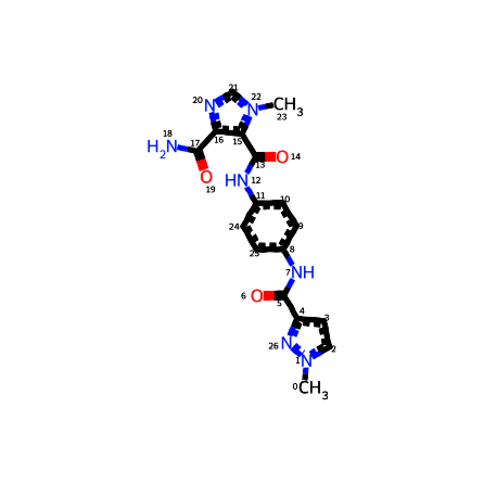 Cn1ccc(C(=O)Nc2ccc(NC(=O)c3c(C(N)=O)ncn3C)cc2)n1